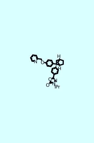 CC(C)n1nc(-c2ccc([C@@]3(c4ccc(OCc5ccccn5)cc4)C[C@@H]4CC[C@H]3C4)cc2)oc1=O